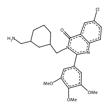 COc1cc(-c2nc3ccc(Cl)cc3c(=O)n2CC2CCCC(CN)C2)cc(OC)c1OC